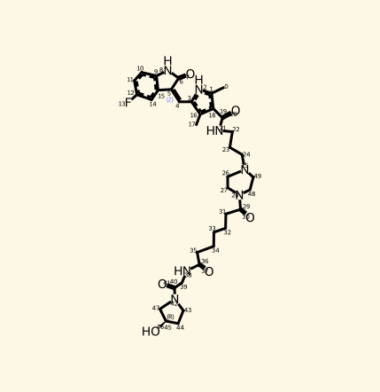 Cc1[nH]c(/C=C2\C(=O)Nc3ccc(F)cc32)c(C)c1C(=O)NCCCN1CCN(C(=O)CCCCCC(=O)NCC(=O)N2CC[C@@H](O)C2)CC1